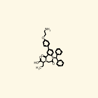 CCC(C(=O)O)N1CC(=O)N(C(c2ccccc2)c2ccccc2)c2ccc(-c3ccc(OCCN)cc3)cc2C1=O